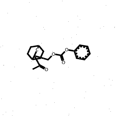 CC(=O)C1(COC(=O)Oc2ccccc2)CC2CCC1CC2